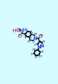 O=C(NO)c1ccc2c(c1)CCN(C(=O)c1cnn(-c3ccccc3)c1)C2